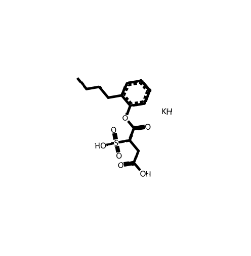 CCCCc1ccccc1OC(=O)C(CC(=O)O)S(=O)(=O)O.[KH]